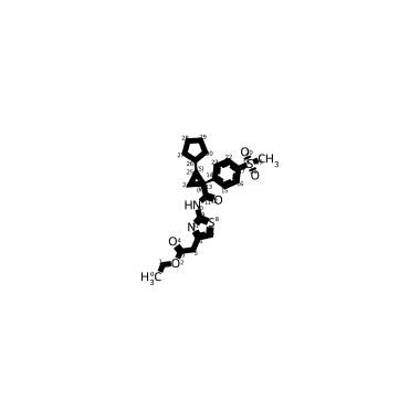 CCOC(=O)Cc1csc(NC(=O)[C@]2(c3ccc(S(C)(=O)=O)cc3)C[C@H]2C2CCCC2)n1